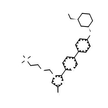 CC(=O)C[C@H]1CCC[C@@H](Oc2ccc(-c3ccc(-c4nc(C(F)(F)F)cn4COCC[Si](C)(C)C)nc3)cc2)C1